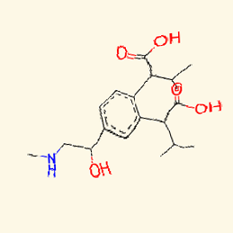 CNCC(O)c1ccc(C(C(=O)O)C(C)C)c(C(C(=O)O)C(C)C)c1